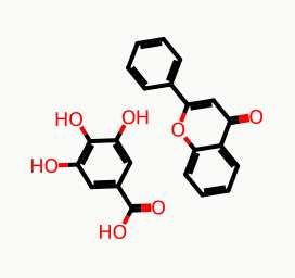 O=C(O)c1cc(O)c(O)c(O)c1.O=c1cc(-c2ccccc2)oc2ccccc12